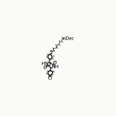 CCCCCCCCCCCCCCCCCCSc1ccc(C2=C3C(=O)NC(c4ccc(Cl)cc4)=C3C(=O)N2)cc1